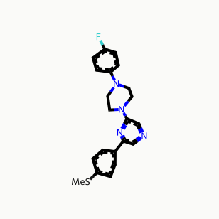 CSc1ccc(-c2cncc(N3CCN(c4ccc(F)cc4)CC3)n2)cc1